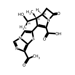 CC(=O)c1ncn2cc(C3=C(C(=O)O)N4C(=O)C[C@@H]4[C@@]3(C)[C@@H](C)O)sc12